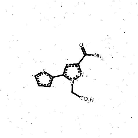 NC(=O)c1cc(-c2cccs2)n(CC(=O)O)n1